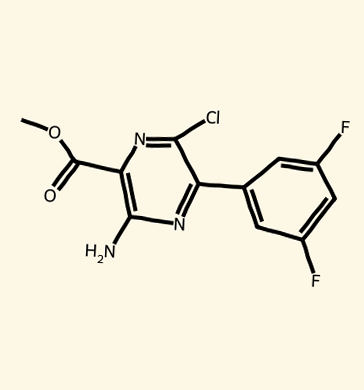 COC(=O)c1nc(Cl)c(-c2cc(F)cc(F)c2)nc1N